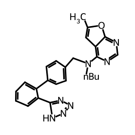 CCCCN(Cc1ccc(-c2ccccc2-c2nnn[nH]2)cc1)c1ncnc2oc(C)cc12